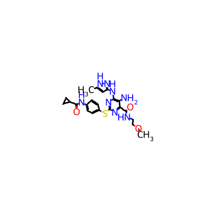 COCCNC(=O)c1nc(Sc2ccc(NC(=O)C3CC3)cc2)nc(Nc2cc(C)[nH]n2)c1N